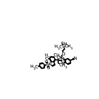 CCC(C)(c1c(C)cc(C)c2c1ccn2S(=O)(=O)c1ccc(C)cc1)c1nc2ccc(C#N)cc2n1COCC[Si](C)(C)C